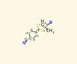 CC(C)(C#N)SC(=S)c1ccc(C#N)cc1